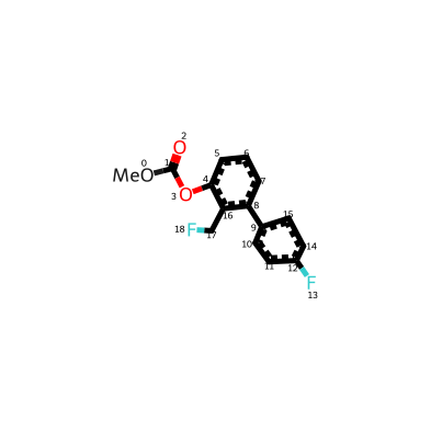 COC(=O)Oc1cccc(-c2ccc(F)cc2)c1CF